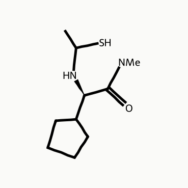 CNC(=O)[C@H](NC(C)S)C1CCCC1